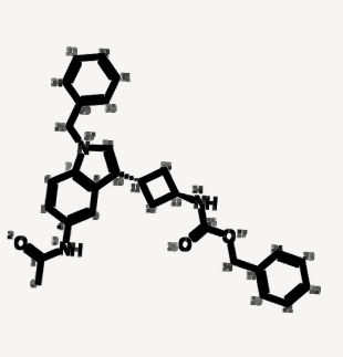 CC(=O)Nc1ccc2c(c1)c([C@H]1C[C@H](NC(=O)OCc3ccccc3)C1)cn2Cc1ccccc1